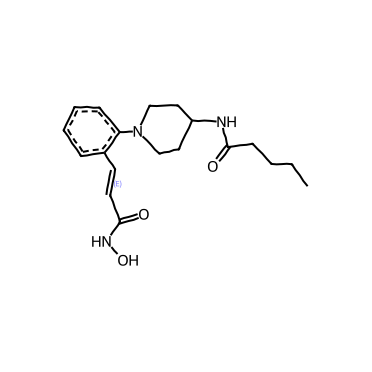 CCCCC(=O)NC1CCN(c2ccccc2/C=C/C(=O)NO)CC1